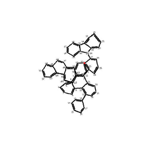 c1ccc(-c2ccccc2-c2c(-c3ccccc3)cccc2N(c2cccc(-n3c4ccccc4c4ccccc43)c2)c2ccc3c(ccc4ccccc43)c2)cc1